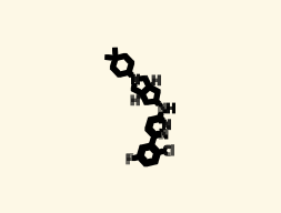 CC1(C)CCC(N2C[C@H]3CC(Nc4ccc(-c5cc(F)ccc5Cl)nn4)C[C@H]3C2)CC1